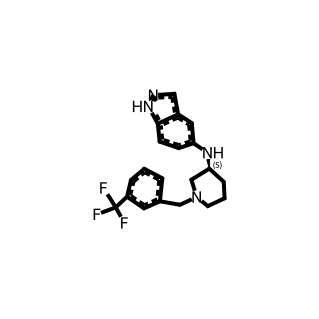 FC(F)(F)c1cccc(CN2CCC[C@H](Nc3ccc4[nH]ncc4c3)C2)c1